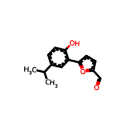 CC(C)c1ccc(O)c(-c2ccc(C=O)o2)c1